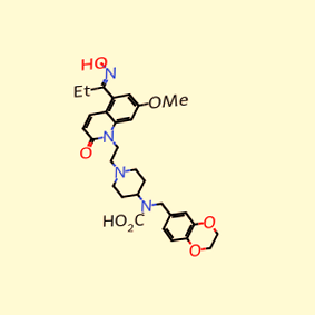 CC/C(=N\O)c1cc(OC)cc2c1ccc(=O)n2CCN1CCC(N(Cc2ccc3c(c2)OCCO3)C(=O)O)CC1